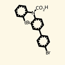 CC(C)(C)c1ccccc1N(C(=O)O)c1ccc(-c2ccc(Br)cc2)cc1